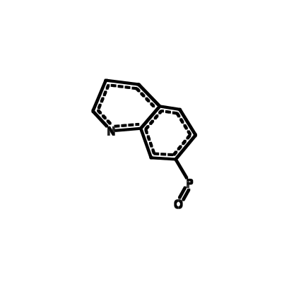 O=Pc1ccc2cccnc2c1